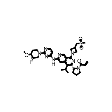 C=CC(=O)N1CCC[C@@H]1c1nc(N2CC(CS(C)(=O)=O)C2)c2cnc(Nc3ccnc(N4CC[C@H](OC)[C@H](F)C4)n3)cc2c1C(C)C